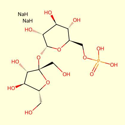 O=P(O)(O)OC[C@H]1O[C@H](O[C@]2(CO)O[C@H](CO)[C@@H](O)[C@@H]2O)[C@H](O)[C@@H](O)[C@@H]1O.[NaH].[NaH]